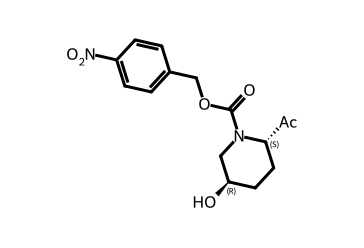 CC(=O)[C@@H]1CC[C@@H](O)CN1C(=O)OCc1ccc([N+](=O)[O-])cc1